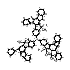 CC1(C)c2cc(N(c3ccc4c(c3)C(C)(C)c3c5c(c6oc7ccccc7c6c3-4)-c3ccccc3C5)c3ccc4c(c3)C(C)(C)c3c5c(c6oc7ccccc7c6c3-4)-c3ccccc3C5(C)C)ccc2-c2c1cc(-c1ccccc1)c1oc3ccccc3c21